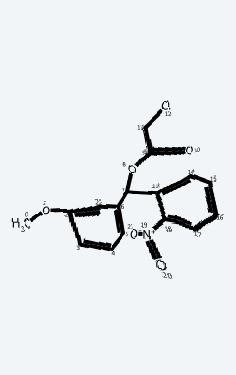 COc1cccc(C(OC(=O)CCl)c2ccccc2[N+](=O)[O-])c1